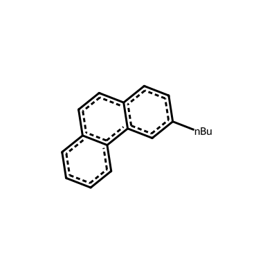 CCCCc1ccc2ccc3ccccc3c2c1